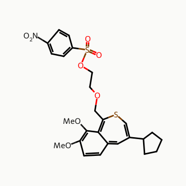 COc1ccc2c(c1OC)=C(COCCOS(=O)(=O)c1ccc([N+](=O)[O-])cc1)SC=C(C1CCCC1)C=2